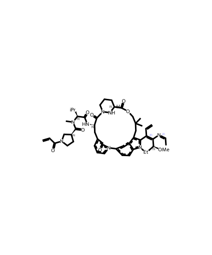 C=CC(=O)N1CC[C@H](C(=O)N(C)[C@H](C(=O)N[C@H]2Cc3cccn(c3=O)-c3ccc4c(c3)c(c(/C(C=C)=C(/N=C\C)[C@H](C)OC)n4CC)CC(C)(C)COC(=O)[C@@H]3CCCN(N3)C2=O)C(C)C)C1